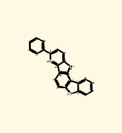 c1ccc(-c2ccc3[nH]c4c(ccc5sc6ccccc6c54)c3n2)cc1